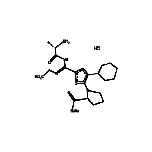 CNC(=O)[C@@H]1CCCN1c1sc(C(=NCC(=O)O)NC(=O)[C@H](C)N)cc1C1CCCCC1.Cl